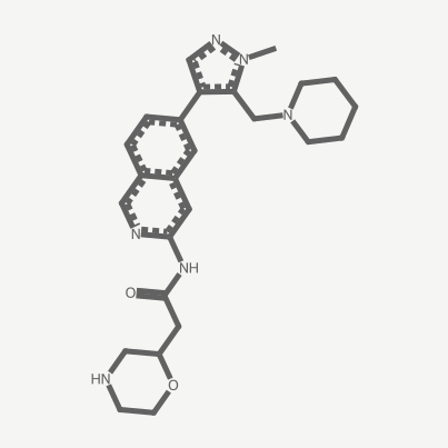 Cn1ncc(-c2ccc3cnc(NC(=O)CC4CNCCO4)cc3c2)c1CN1CCCCC1